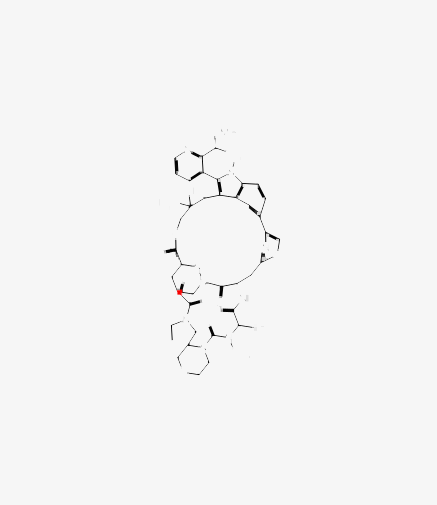 C=CC(=O)N1CC[C@]2(COCCN2C(=O)N(C)C(C(=O)N[C@H]2Cc3nc(cs3)-c3ccc4c(c3)c(c(-c3cccnc3[C@H](C)OC)n4CC)CC(C)(C)COC(=O)[C@@H]3CCCN(N3)C2=O)C(C)C)C1